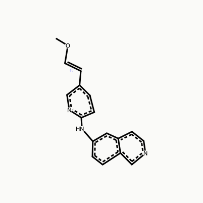 CO/C=C/c1ccc(Nc2ccc3cnccc3c2)nc1